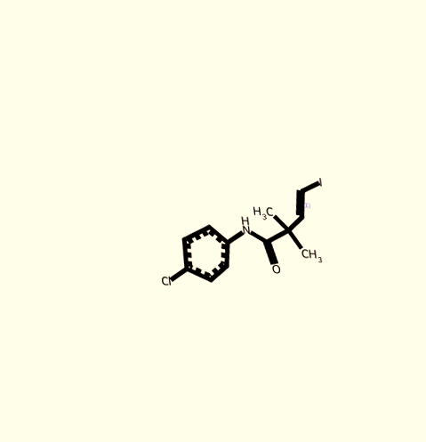 CC(C)(/C=C/I)C(=O)Nc1ccc(Cl)cc1